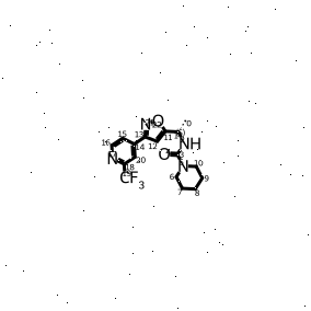 C[C@H](NC(=O)N1CCCCC1)c1cc(-c2ccnc(C(F)(F)F)c2)no1